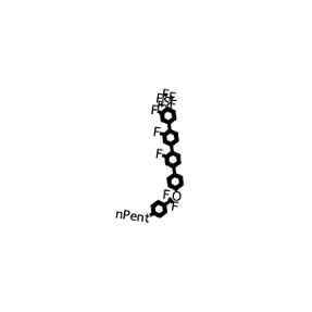 CCCCCc1ccc(C(F)(F)Oc2ccc(-c3ccc(-c4ccc(-c5ccc(S(F)(F)(F)(F)F)c(F)c5)c(F)c4)c(F)c3)cc2)cc1